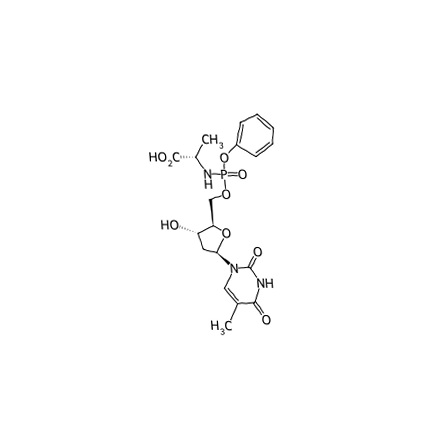 Cc1cn([C@H]2C[C@H](O)[C@@H](COP(=O)(N[C@@H](C)C(=O)O)Oc3ccccc3)O2)c(=O)[nH]c1=O